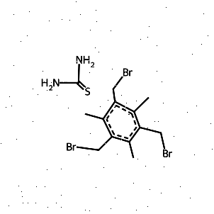 Cc1c(CBr)c(C)c(CBr)c(C)c1CBr.NC(N)=S